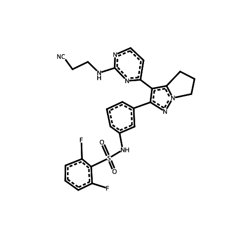 N#CCCNc1nccc(-c2c(-c3cccc(NS(=O)(=O)c4c(F)cccc4F)c3)nn3c2CCC3)n1